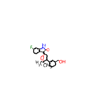 CC1(C)O/C(=C2/C(=O)Nc3cc(F)ccc32)C=C1c1cccc(CO)c1